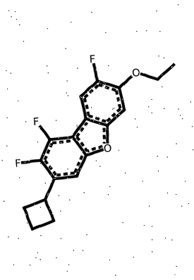 CCOc1cc2oc3cc(C4CCC4)c(F)c(F)c3c2cc1F